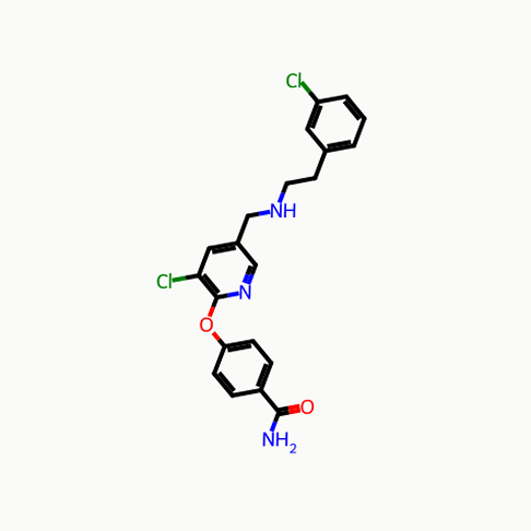 NC(=O)c1ccc(Oc2ncc(CNCCc3cccc(Cl)c3)cc2Cl)cc1